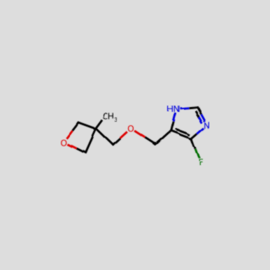 CC1(COCc2[nH]cnc2F)COC1